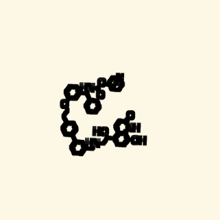 O=C(NC(c1ccccc1)c1cccc(OCCc2ccc(-c3cccc(CNCC(O)c4ccc(O)c5[nH]c(=O)ccc45)c3)cc2)c1)OC1CN2CCC1CC2